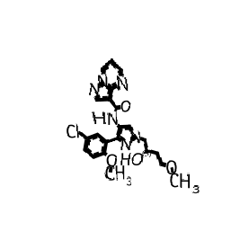 COCC[C@H](O)Cn1cc(NC(=O)c2cnn3cccnc23)c(-c2cc(Cl)ccc2OC)n1